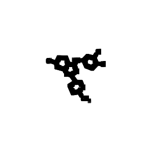 Cc1ccc(-c2nc(Nc3ccc(Cl)c(Cl)c3)c3ccc(Cl)cc3n2)cn1